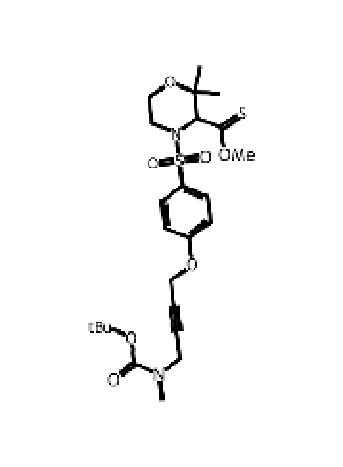 COC(=S)C1N(S(=O)(=O)c2ccc(OCC#CCN(C)C(=O)OC(C)(C)C)cc2)CCOC1(C)C